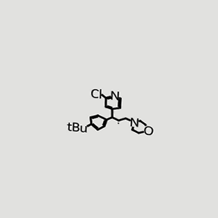 CC(C)(C)c1ccc(C([CH]CN2CCOCC2)c2ccnc(Cl)c2)cc1